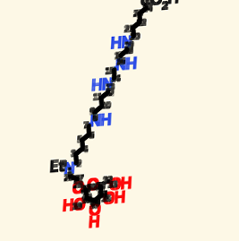 CCN(CCCCCCNCCCCNCCNCCNCCCCCC(=O)O)CCO[C@H]1O[C@H](CO)[C@@H](O)[C@H](O)[C@@H]1O